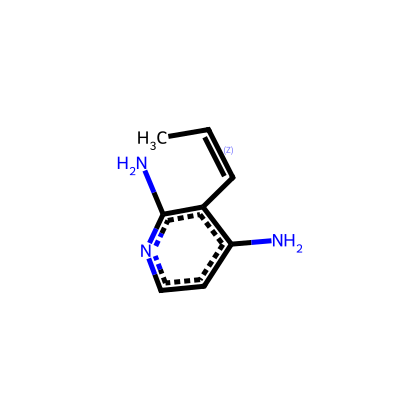 C/C=C\c1c(N)ccnc1N